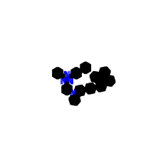 c1ccc(-c2ccc(-c3nc(-c4ccccc4)nc(-c4cccc(-n5c6ccccc6c6cc(-c7ccc(-c8cccc9c8-c8ccccc8C9(c8ccccc8)c8ccccc8)cc7)ccc65)c4)n3)cc2)cc1